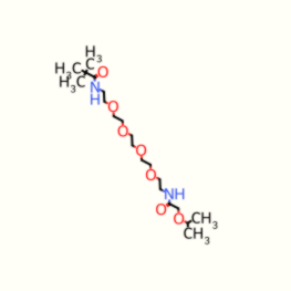 CC(C)OCC(=O)NCCOCCOCCOCCOCCNC(=O)C(C)(C)C